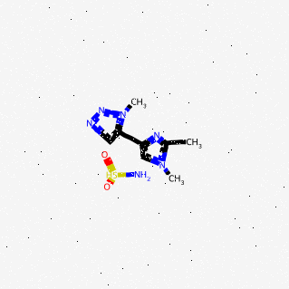 Cc1nc(-c2cnnn2C)cn1C.N[SH](=O)=O